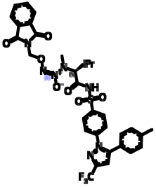 Cc1ccc(-c2cc(C(F)(F)F)nn2-c2ccc(S(=O)(=O)NC(=O)[C@H](C(C)C)N(C)/[N+]([O-])=N\OCN3C(=O)c4ccccc4C3=O)cc2)cc1